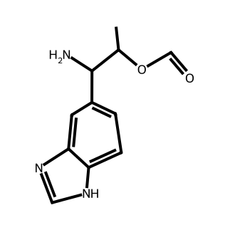 CC(OC=O)C(N)c1ccc2[nH]cnc2c1